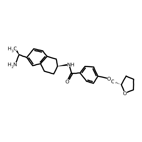 C[C@H](N)c1ccc2c(c1)CC[C@H](NC(=O)c1ccc(OC[C@@H]3CCCO3)cc1)C2